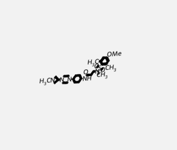 COc1cc(C)c(S(=O)(=O)N(C)CCC(=O)N[C@H]2CC[C@H](N3CCN(C4CN(C)C4)CC3)CC2)c(C)c1